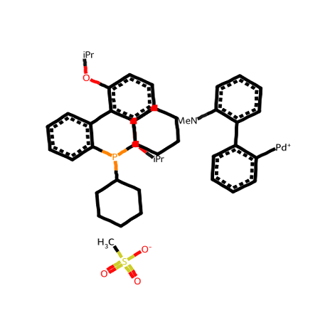 CC(C)Oc1cccc(OC(C)C)c1-c1ccccc1P(C1CCCCC1)C1CCCCC1.CNc1ccccc1-c1cccc[c]1[Pd+].CS(=O)(=O)[O-]